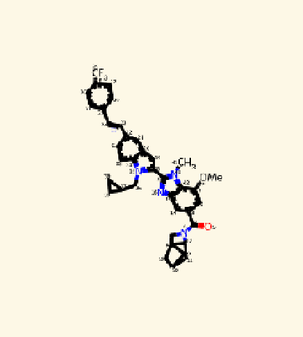 COc1cc(C(=O)N2CC34CC(CC23)C4)cc2nc(-c3cc4cc(/C=C/c5ccc(C(F)(F)F)cc5)ccc4n3CC3CC3)n(C)c12